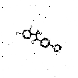 O=C(c1ccc(-n2ccnc2)nc1)C1(c2ccc(F)cc2F)CO1